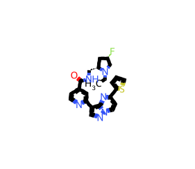 CCN1C[C@@H](F)C[C@H]1CNC(=O)c1ccnc(-c2cnn3ccc(-c4cccs4)nc23)c1